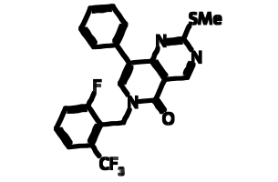 CSc1ncc2c(=O)n(Cc3c(F)cccc3C(F)(F)F)cc(-c3ccccc3)c2n1